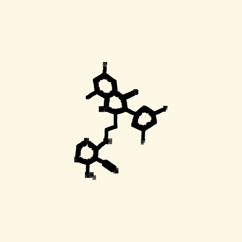 Cc1cc(F)cc2c(=O)c(-c3cc(F)cc(F)c3)c(CCNc3ncnc(N)c3C#N)[nH]c12